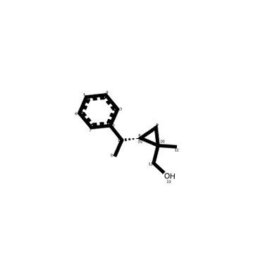 CC(c1ccccc1)[C@@H]1CC1(C)CO